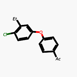 CCc1cc(Oc2ccc(C(C)=O)cc2)ccc1Cl